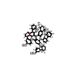 CC(C)(C)c1ccc(N2c3cc(N4c5ccc(C(C)(C)C)cc5C5(C)CCCCC45C)cc4c3B(c3cc5c(cc3N4c3cccc4c3sc3ccccc34)C(C)(C)CCC5(C)C)c3c2ccc2c3oc3ccccc32)c(-c2ccccc2)c1